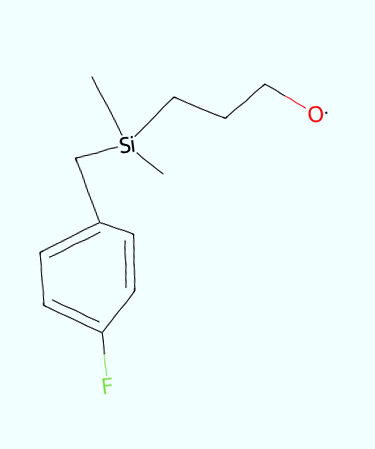 C[Si](C)(CCC[O])Cc1ccc(F)cc1